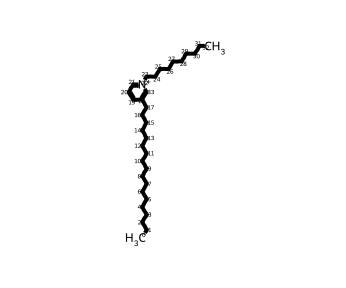 CCCCCCCCCCCCCCCCCCc1ccc[n+](CCCCCCCCCC)c1